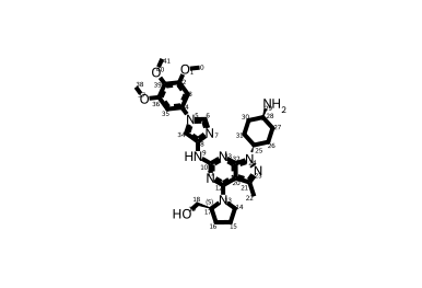 COc1cc(-n2cnc(Nc3nc(N4CCC[C@H]4CO)c4c(C)nn([C@H]5CC[C@H](N)CC5)c4n3)c2)cc(OC)c1OC